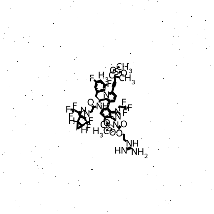 CC(C)(C#Cc1ccc(-c2ccc(Cl)c3c(N(C(=O)OCCNC(=N)N)S(C)(=O)=O)nn(CC(F)(F)F)c23)c([C@H](Cc2cc(F)cc(F)c2)NC(=O)Cn2nc(C(F)(F)F)c3c2C(F)(F)[C@@H]2C[C@H]32)n1)S(C)(=O)=O